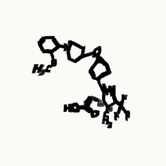 COc1ccccc1N1CCC(Oc2ccc(N3N=C(C(F)(F)F)[C@@H](C)[C@@H]3CC(=O)O)cc2)CC1